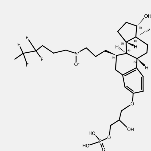 CC(F)(F)C(F)(F)CCC[S+]([O-])CCC[C@@H]1Cc2cc(OCC(O)COP(=O)(O)O)ccc2[C@H]2CC[C@]3(C)[C@@H](O)CC[C@H]3[C@H]12